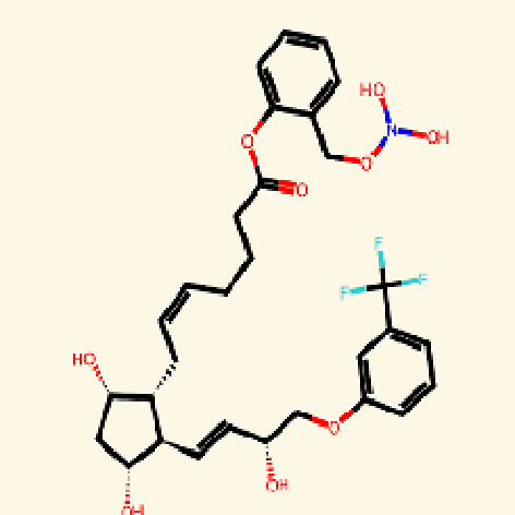 O=C(CCC/C=C\C[C@@H]1[C@@H](/C=C/[C@@H](O)COc2cccc(C(F)(F)F)c2)[C@H](O)C[C@@H]1O)Oc1ccccc1CON(O)O